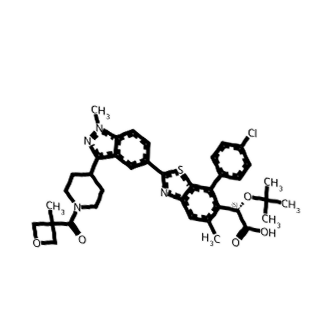 Cc1cc2nc(-c3ccc4c(c3)c(C3CCN(C(=O)C5(C)COC5)CC3)nn4C)sc2c(-c2ccc(Cl)cc2)c1[C@H](OC(C)(C)C)C(=O)O